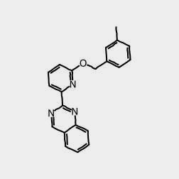 Cc1cccc(COc2cccc(-c3ncc4ccccc4n3)n2)c1